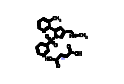 CNCc1cc(-c2ncccc2C)n(S(=O)(=O)c2cccnc2)c1.O=C(O)/C=C/C(=O)O